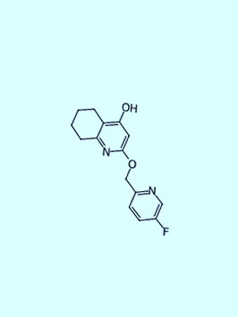 Oc1cc(OCc2ccc(F)cn2)nc2c1CCCC2